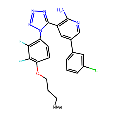 CNCCCOc1ccc(-n2nnnc2-c2cc(-c3cccc(Cl)c3)cnc2N)c(F)c1F